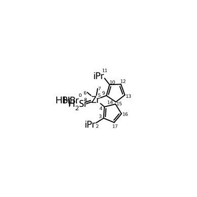 Br.Br.CC(C)C1=[C]([Zr]([CH3])([CH3])(=[SiH2])[C]2=C(C(C)C)C=CC2)CC=C1